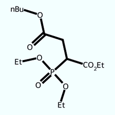 CCCCOC(=O)CC(C(=O)OCC)P(=O)(OCC)OCC